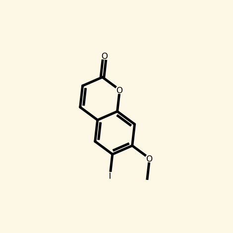 COc1cc2oc(=O)ccc2cc1I